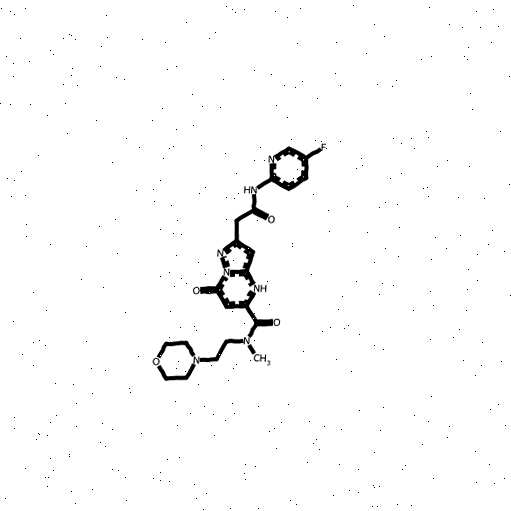 CN(CCN1CCOCC1)C(=O)c1cc(=O)n2nc(CC(=O)Nc3ccc(F)cn3)cc2[nH]1